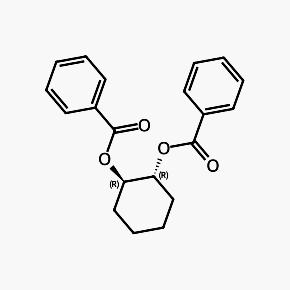 O=C(O[C@@H]1CCCC[C@H]1OC(=O)c1ccccc1)c1ccccc1